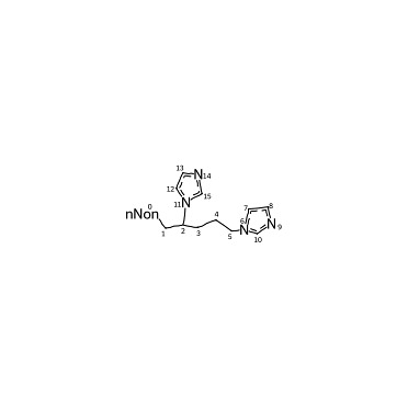 CCCCCCCCCCC(CCCn1ccnc1)n1ccnc1